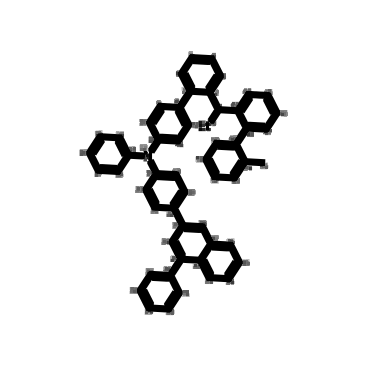 CCC(c1ccccc1-c1ccc(N(c2ccccc2)c2ccc(-c3cc(-c4ccccc4)c4ccccc4c3)cc2)cc1)c1ccccc1-c1ccccc1C